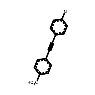 O=C(O)c1ccc(C#Cc2ccc(Cl)cc2)cc1